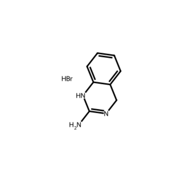 Br.NC1=NCc2ccccc2N1